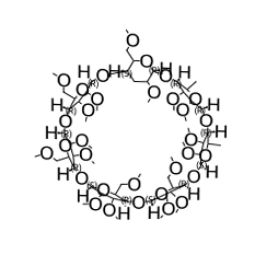 COCC1O[C@H]2O[C@@H]3C(COC)O[C@@H](O[C@@H]4C(COC)O[C@H](O[C@@H]5C(COC)O[C@@H](O[C@H]6CC(OC)[C@H](OC6COC)O[C@@H]6C(C)O[C@H](O[C@@H]7C(C)O[C@@H](O[C@H]1C(OC)C2OC)C(OC)C7OC)C(OC)C6OC)C(OC)C5OC)C(OC)C4OC)C(OC)C3OC